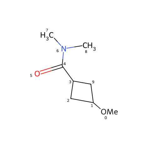 COC1CC(C(=O)N(C)C)C1